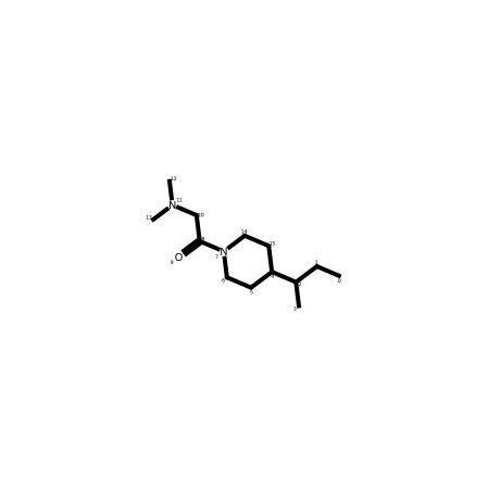 CCC(C)C1CCN(C(=O)CN(C)C)CC1